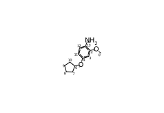 COc1cc(OC2CCCC2)ccc1N